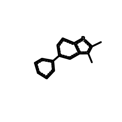 Cc1oc2ccc(-c3ccccc3)cc2c1C